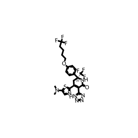 CN(C)c1cnc(C2=C(c3nnn[nH]3)C(=O)N[C@@](c3ccc(OCCCCC(F)(F)F)cc3)(C(F)(F)F)C2)s1